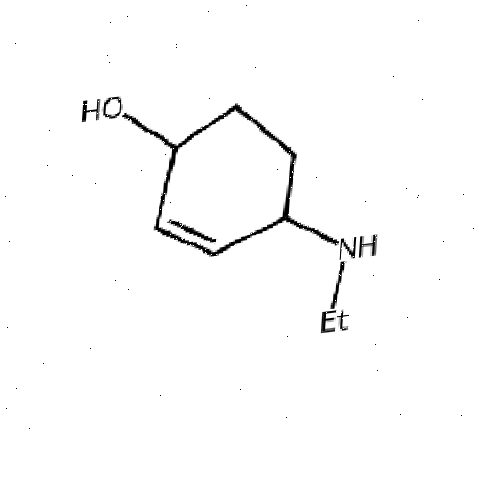 CCNC1C=CC(O)CC1